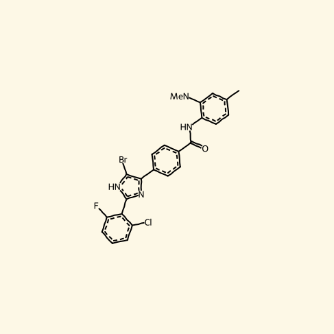 CNc1cc(C)ccc1NC(=O)c1ccc(-c2nc(-c3c(F)cccc3Cl)[nH]c2Br)cc1